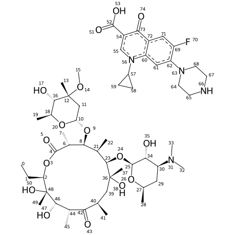 CC[C@H]1OC(=O)[C@H](C)[C@@H](O[C@H]2C[C@@](C)(OC)[C@@H](O)[C@H](C)O2)[C@@H](C)[C@@H](O[C@@H]2O[C@H](C)C[C@H](N(C)C)[C@H]2O)[C@](C)(O)C[C@@H](C)C(=O)[C@H](C)[C@H](O)[C@]1(C)O.O=C(O)c1cn(C2CC2)c2cc(N3CCNCC3)c(F)cc2c1=O